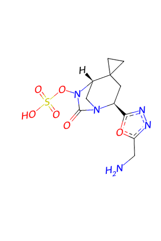 NCc1nnc([C@@H]2CC3(CC3)[C@@H]3CN2C(=O)N3OS(=O)(=O)O)o1